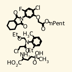 CCCCCOC(=O)COc1cc(N2C(=O)C3=C(CCCC3)C2=O)c(F)cc1Cl.CCOCN(C(=O)CCl)c1c(C)cccc1CC.CP(=O)(O)CCC(N)C(=O)O